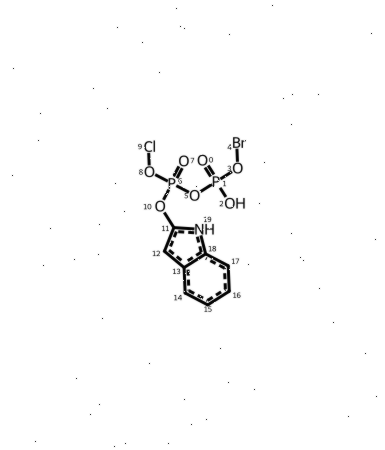 O=P(O)(OBr)OP(=O)(OCl)Oc1cc2ccccc2[nH]1